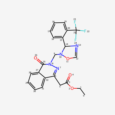 CCOC(=O)Cc1nn(CN2OC=NC2c2ccccc2C(F)(F)F)c(=O)c2ccccc12